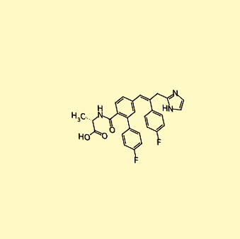 C[C@H](NC(=O)c1ccc(C=C(Cc2ncc[nH]2)c2ccc(F)cc2)cc1-c1ccc(F)cc1)C(=O)O